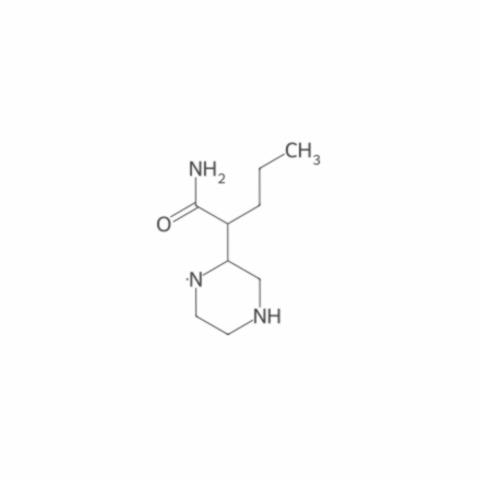 CCCC(C(N)=O)C1CNCC[N]1